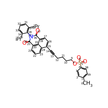 Cc1ccc(S(=O)(=O)OCCCCC#Cc2ccc3c4c(cccc24)C(=O)N(c2c(C(C)C)cccc2C(C)C)C3=O)cc1